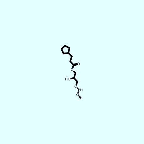 COPOCC(O)COC(=O)CCC1CCCC1